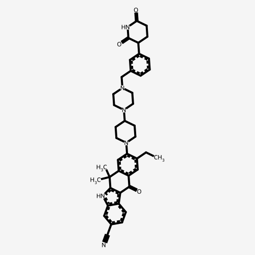 CCc1cc2c(cc1N1CCC(N3CCN(Cc4cccc(C5CCC(=O)NC5=O)c4)CC3)CC1)C(C)(C)c1[nH]c3cc(C#N)ccc3c1C2=O